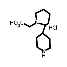 Cl.O=C(O)CN1CCCCC1C1CCNCC1